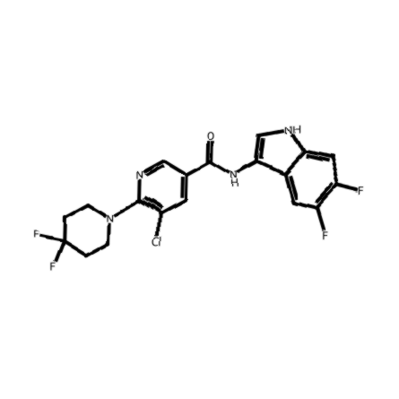 O=C(Nc1c[nH]c2cc(F)c(F)cc12)c1cnc(N2CCC(F)(F)CC2)c(Cl)c1